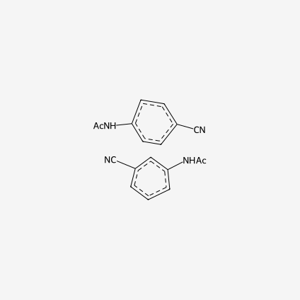 CC(=O)Nc1ccc(C#N)cc1.CC(=O)Nc1cccc(C#N)c1